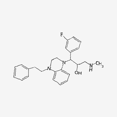 CNCC(O)C(c1cccc(F)c1)N1CCN(CCc2ccccc2)c2ccccc21